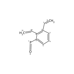 C=Cc1cccc(P=O)c1C=C